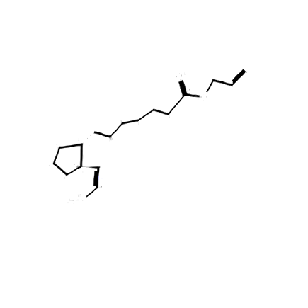 C=CCOC(=O)CCCCCC[C@H]1CCC[C@@H]1/C=C\CCCCCC